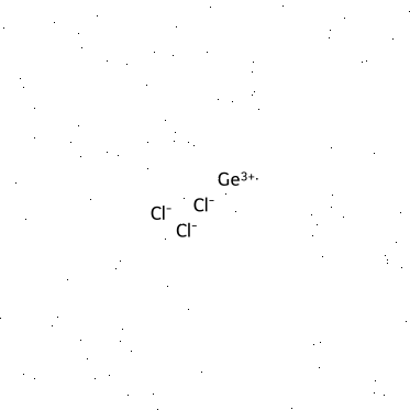 [Cl-].[Cl-].[Cl-].[Ge+3]